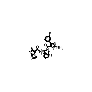 Cc1nc2sccn2c1C(=O)NC[C@@H]1[C@H]2CCC[C@H]2CN1C(=O)c1nc(N)sc1-c1cccc(F)c1